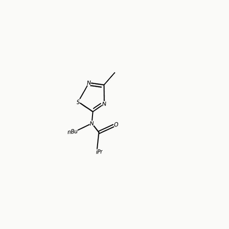 CCCCN(C(=O)C(C)C)c1nc(C)ns1